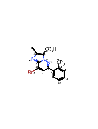 Cc1nc2c(Br)cc(-c3ccccc3C(F)(F)F)nn2c1C(=O)O